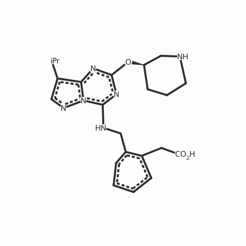 CC(C)c1cnn2c(NCc3ccccc3CC(=O)O)nc(O[C@@H]3CCCNC3)nc12